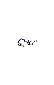 CC/C=C\C/C=C\C\C=C/C=C\C=C(/C=C\C/C=C\CC[C]=O)[N+](=O)[O-]